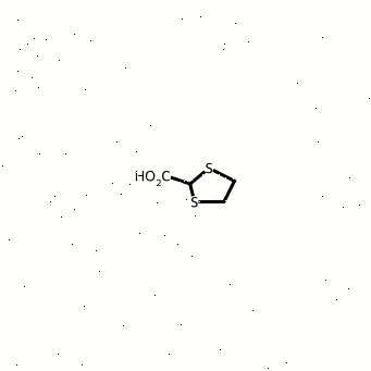 O=C(O)C1SCCS1